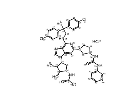 CCC(=O)N[C@H]1C[C@@H](n2cnc3c(NCC(O)(c4ccc(Cl)cc4)c4ccc(Cl)cc4)nc(N4CCC(NC(=O)Nc5cccnc5)C4)nc32)[C@H](O)[C@@H]1O.Cl